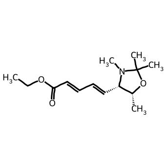 CCOC(=O)/C=C/C=C/[C@H]1[C@@H](C)OC(C)(C)N1C